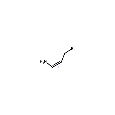 CCC/C=C\N